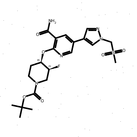 CC(C)(C)OC(=O)N1CC[C@@H](Oc2ncc(-c3cnn(CS(C)(=O)=O)c3)cc2C(N)=O)[C@@H](F)C1